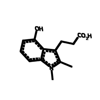 Cc1c(CCC(=O)O)c2c(O)cccc2n1C